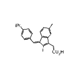 CC1=C(CC(=O)O)c2cc(C)ccc2/C1=C\c1ccc(C(C)C)cc1